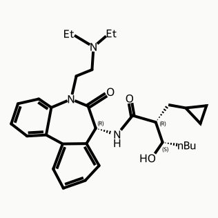 CCCC[C@H](O)[C@@H](CC1CC1)C(=O)N[C@H]1C(=O)N(CCN(CC)CC)c2ccccc2-c2ccccc21